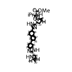 COC(=O)NC(ON1[C@@H]2C[C@@H]2C[C@H]1c1nc(-c2ccc3cc(-c4ccc5nc([C@@H]6C[C@H]7C[C@H]7N6)[nH]c5c4)ccc3c2)c[nH]1)C(C)C